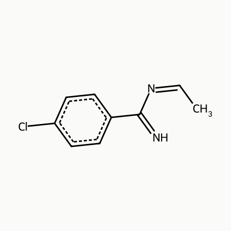 C/C=N\C(=N)c1ccc(Cl)cc1